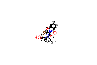 CC1(O)CS[C@@H]2C(N3C(=O)c4ccccc4C3=O)C(=O)N2C1C(=O)O